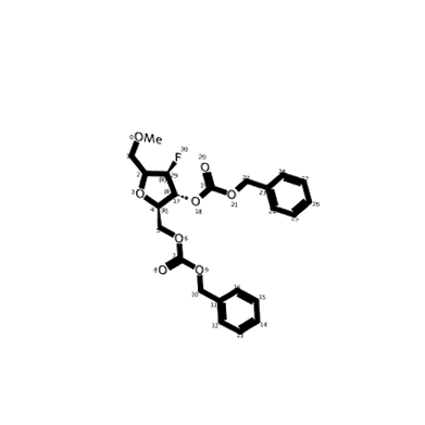 COCC1O[C@H](COC(=O)OCc2ccccc2)[C@@H](OC(=O)OCc2ccccc2)[C@@H]1F